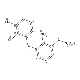 O=C(O)Cc1cccc(Oc2cccc(Cl)c2Cl)c1[N+](=O)[O-]